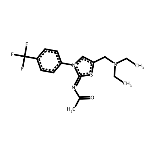 CCN(CC)Cc1cn(-c2ccc(C(F)(F)F)cc2)c(=NC(C)=O)s1